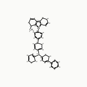 CC1CC=Cc2c3c(n(-c4ccc(C5C=CC(N(C6=CC=CCC6)C6=CC=C(c7ccccc7)CC6)=CC5)cc4)c21)C=CCC3